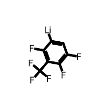 [Li][c]1cc(F)c(F)c(C(F)(F)F)c1F